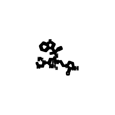 C#CC(C)(/N=C(\C=C(/N)N(/C=N\C)C(C)C)NCCN1CCNC1=O)c1csc2ccccc12